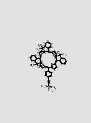 CC(C)(C)c1ccccc1C1=C2C=CC(=N2)C(c2ccc(C#C[Si](C)(C)C)cc2)=C2C=CC(=N2)C(c2ccccc2C(C)(C)C)=C2C=CC(=N2)C(c2ccccc2C(C)(C)C)=C2C=CC1=N2